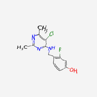 Cc1nc(C)c(Cl)c(NCc2ccc(O)cc2F)n1